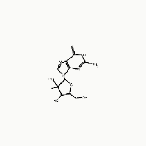 CC1(O)C(O)C(CO)OC1n1cnc2c(=O)[nH]c(N)nc21